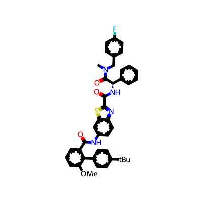 COc1cccc(C(=O)Nc2ccc3nc(C(=O)N[C@H](C(=O)N(C)Cc4ccc(F)cc4)c4ccccc4)sc3c2)c1-c1ccc(C(C)(C)C)cc1